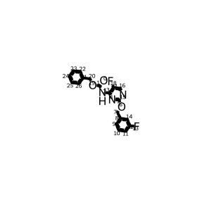 O=C(Nc1nc(OCc2cccc(F)c2)ncc1F)OCc1ccccc1